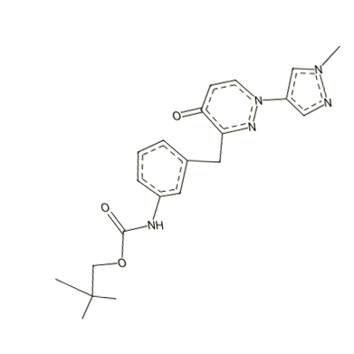 Cn1cc(-n2ccc(=O)c(Cc3cccc(NC(=O)OCC(C)(C)C)c3)n2)cn1